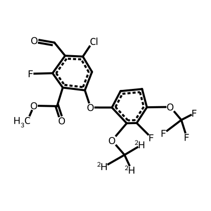 [2H]C([2H])([2H])Oc1c(Oc2cc(Cl)c(C=O)c(F)c2C(=O)OC)ccc(OC(F)(F)F)c1F